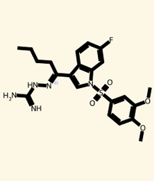 CCCC/C(=N\NC(=N)N)c1cn(S(=O)(=O)c2ccc(OC)c(OC)c2)c2cc(F)ccc12